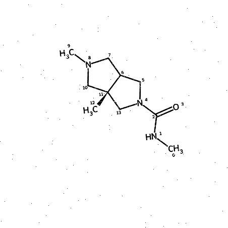 CNC(=O)N1CC2CN(C)C[C@@]2(C)C1